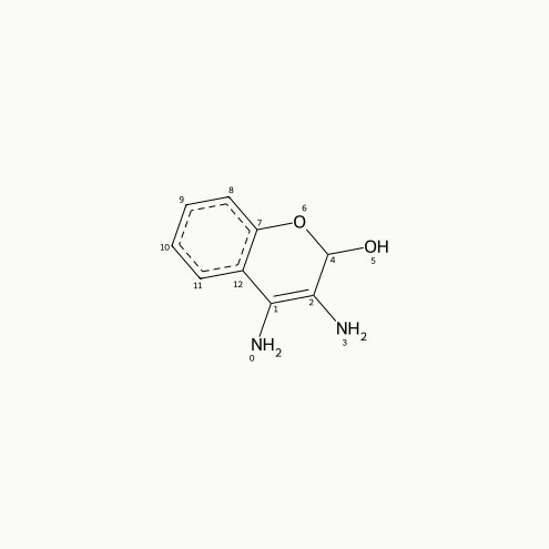 NC1=C(N)C(O)Oc2ccccc21